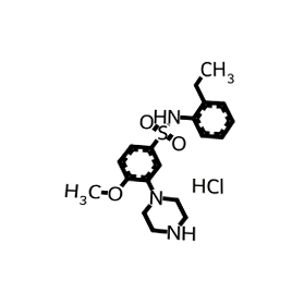 CCc1ccccc1NS(=O)(=O)c1ccc(OC)c(N2CCNCC2)c1.Cl